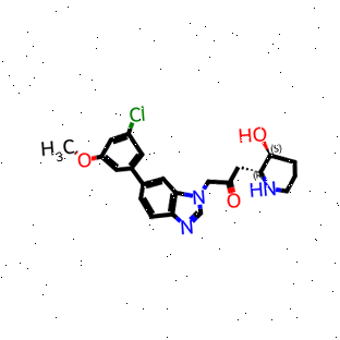 COc1cc(Cl)cc(-c2ccc3ncn(CC(=O)C[C@H]4NCCC[C@@H]4O)c3c2)c1